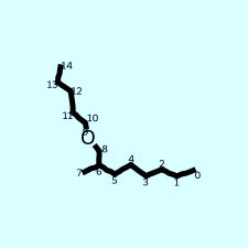 CCCCCCC(C)COCCCCC